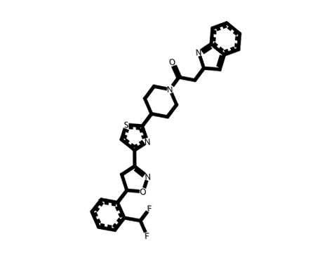 O=C(CC1C=c2ccccc2=N1)N1CCC(c2nc(C3=NOC(c4[c]cccc4C(F)F)C3)cs2)CC1